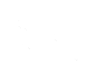 NCCCCNC(=O)c1ccc(-c2ccc(=O)n(Cc3cccc(N)c3)n2)cc1